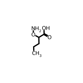 CCCC(ON)C(=O)O